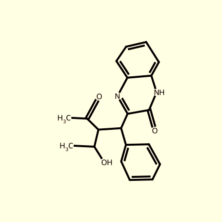 CC(=O)C(C(C)O)C(c1ccccc1)c1nc2ccccc2[nH]c1=O